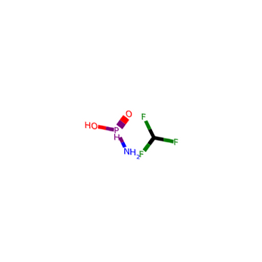 FC(F)F.N[PH](=O)O